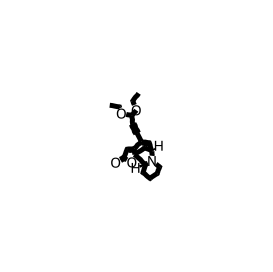 CCOC(C#CC1=C[C@@H]2C[C@@]3(OC(=O)C=C13)[C@H]1CCCCN21)OCC